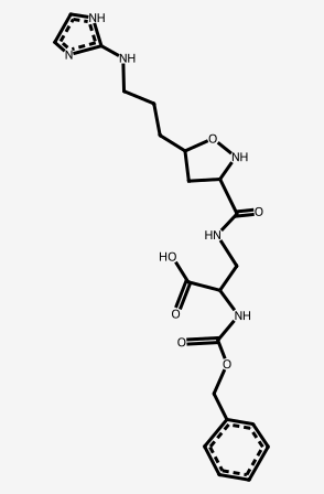 O=C(NC(CNC(=O)C1CC(CCCNc2ncc[nH]2)ON1)C(=O)O)OCc1ccccc1